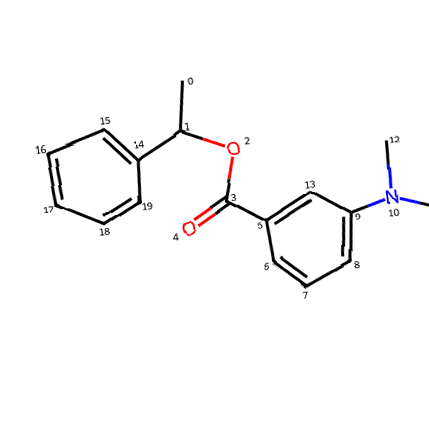 CC(OC(=O)c1cccc(N(C)C)c1)c1ccccc1